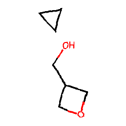 C1CC1.OCC1COC1